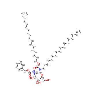 CCCCCCCCCCCCCCCCCCOC(=O)N(CCCCCCCCCCCCCCCCCC)[C@@H]1O[C@H](CO)[C@@H](O)[C@H](O)[C@H]1NC(=O)OCc1ccccc1